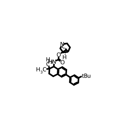 CC(C)(C)c1cccc(-c2ccc3c(c2)CCC(C)(C)C3NC(=O)O[C@H]2CN3CCC2CC3)c1